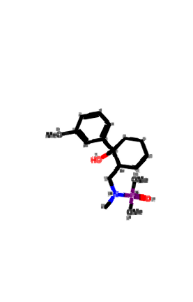 COc1cccc(C2(O)CCCCC2CN(C)P(=O)(OC)OC)c1